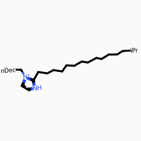 CCCCCCCCCCC[n+]1cc[nH]c1CCCCCCCCCCCCCC(C)C